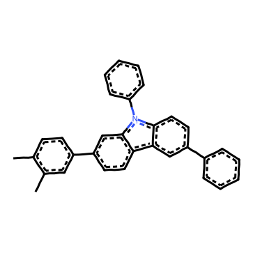 Cc1ccc(-c2ccc3c4cc(-c5ccccc5)ccc4n(-c4ccccc4)c3c2)cc1C